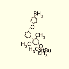 Bc1ccc(OCc2cccc(-c3c(C)cc(O[Si](C)(C)C(C)(C)C)cc3C)c2)cc1